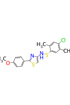 COc1ccc(-c2nc(NSc3cc(C)c(Cl)cc3C)cs2)cc1